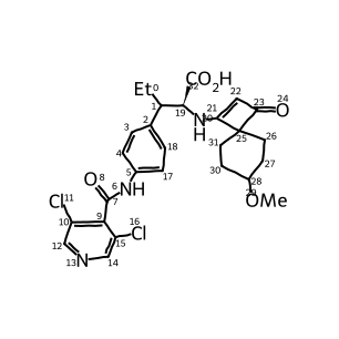 CCC(c1ccc(NC(=O)c2c(Cl)cncc2Cl)cc1)[C@H](NC1=CC(=O)C12CCC(OC)CC2)C(=O)O